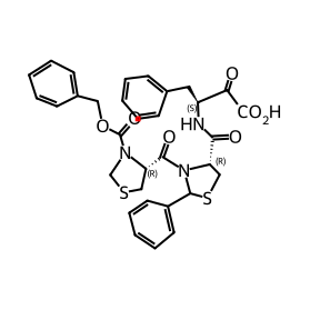 O=C(O)C(=O)[C@H](Cc1ccccc1)NC(=O)[C@@H]1CSC(c2ccccc2)N1C(=O)[C@@H]1CSCN1C(=O)OCc1ccccc1